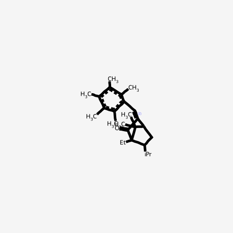 CCC12C(=O)/C(=C\c3c(C)c(C)c(C)c(C)c3C)C(CC1C(C)C)C2(C)C